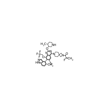 C=C(F)C(=O)N1CC2(CCN(c3nc(OC4CNCCC4C)nc4c(OCC(F)(F)F)c(-c5c(C)ccc6[nH]ncc56)c(C5CC5)cc34)CC2)C1